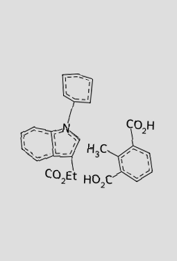 CCOC(=O)c1cn(-c2ccccc2)c2ccccc12.Cc1c(C(=O)O)cccc1C(=O)O